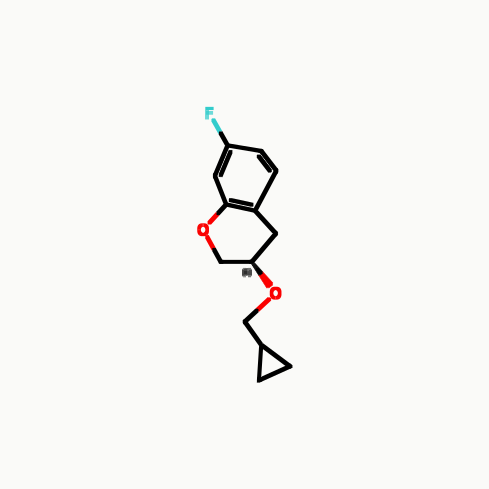 Fc1ccc2c(c1)OC[C@H](OCC1CC1)C2